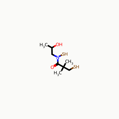 CC(O)CN(S)C(=O)C(C)(C)CS